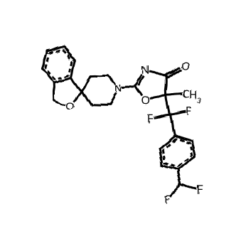 CC1(C(F)(F)c2ccc(C(F)F)cc2)OC(N2CCC3(CC2)OCc2ccccc23)=NC1=O